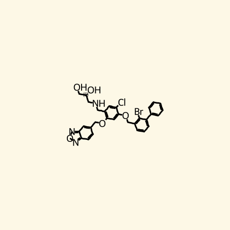 OC[C@@H](O)CNCc1cc(Cl)c(OCc2cccc(-c3ccccc3)c2Br)cc1OCc1ccc2nonc2c1